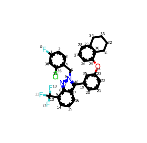 Fc1ccc(Cn2nc3c(C(F)(F)F)cccc3c2-c2cccc(Oc3cccc4c3CCCC4)c2)c(Cl)c1